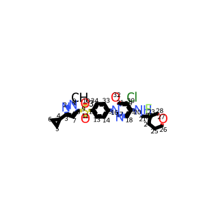 Cn1nc(C2CC2)cc1S(=O)(=O)c1ccc(-n2ncc(NC[C@@]3(F)CCCOC3)c(Cl)c2=O)cc1